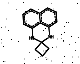 c1cc2c3c(cccc3c1)NC1(CCC1)N2